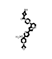 COC1(C2C=CC(c3cc4n(c3)N=CCC4N3CCN(C(=O)C4CC(=N)C4)CC3)=NC2)CCN(C2COC2)CC1